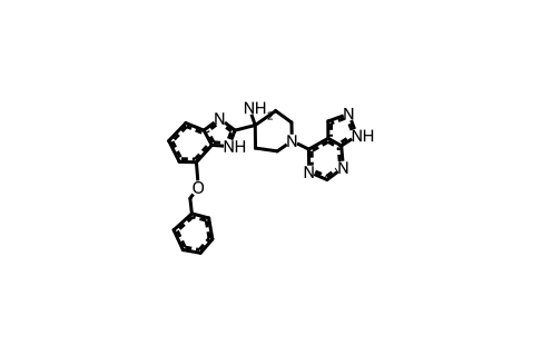 NC1(c2nc3cccc(OCc4ccccc4)c3[nH]2)CCN(c2ncnc3[nH]ncc23)CC1